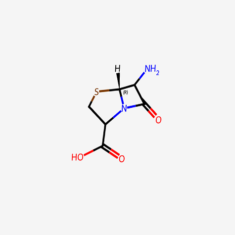 NC1C(=O)N2C(C(=O)O)CS[C@H]12